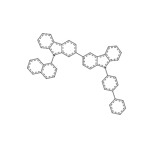 c1ccc(-c2ccc(-n3c4ccccc4c4cc(-c5ccc6c7ccccc7n(-c7cccc8ccccc78)c6c5)ccc43)cc2)cc1